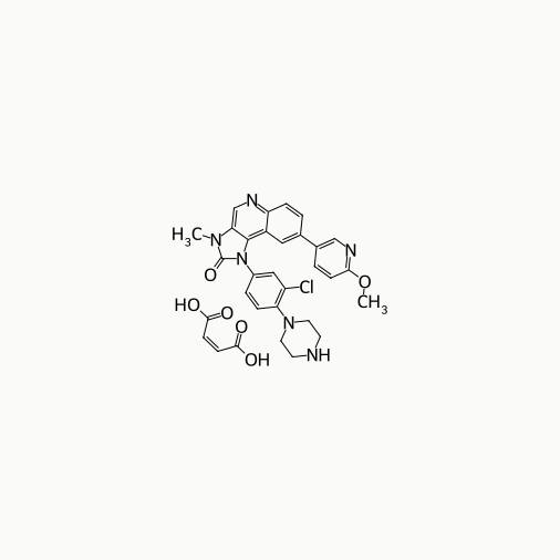 COc1ccc(-c2ccc3ncc4c(c3c2)n(-c2ccc(N3CCNCC3)c(Cl)c2)c(=O)n4C)cn1.O=C(O)/C=C\C(=O)O